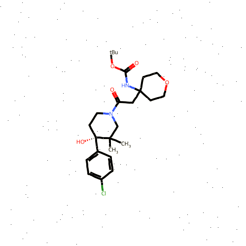 CC(C)(C)OC(=O)NC1(CC(=O)N2CC[C@](O)(c3ccc(Cl)cc3)C(C)(C)C2)CCOCC1